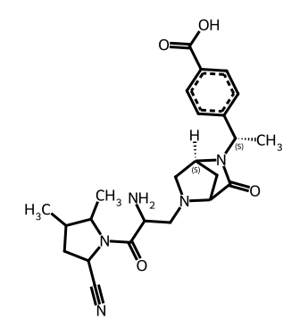 CC1CC(C#N)N(C(=O)C(N)CN2C[C@@H]3CC2C(=O)N3[C@@H](C)c2ccc(C(=O)O)cc2)C1C